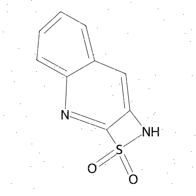 O=S1(=O)Nc2cc3ccccc3nc21